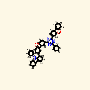 c1ccc(-c2nc(-c3ccc4c(c3)oc3ccccc34)nc(-c3ccc4oc5ccc(-c6cccc7c8ccccc8n(-c8ccccc8)c67)cc5c4c3)n2)cc1